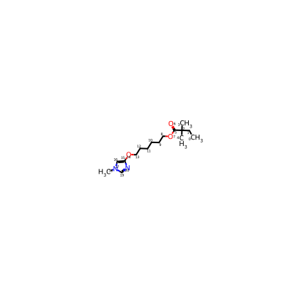 CCC(C)(C)C(=O)OCCCCCCOc1cn(C)cn1